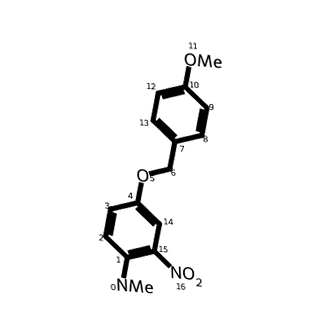 CNc1ccc(OCc2ccc(OC)cc2)cc1[N+](=O)[O-]